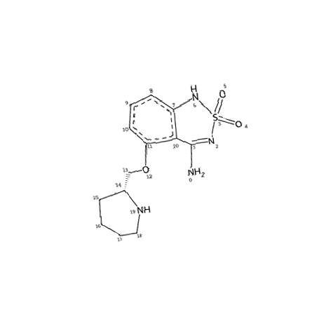 NC1=NS(=O)(=O)Nc2cccc(OC[C@H]3CCCCN3)c21